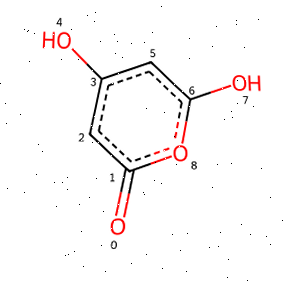 O=c1cc(O)cc(O)o1